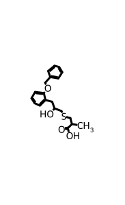 CC(CSCC(O)Cc1ccccc1OCc1ccccc1)C(=O)O